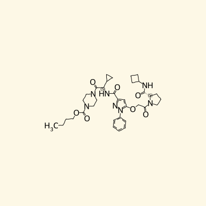 CCCCOC(=O)N1CCN(C(=O)[C@@H](NC(=O)c2cc(OCC(=O)N3CCC[C@H]3C(=O)NC3CCC3)n(-c3ccccc3)n2)C2CC2)CC1